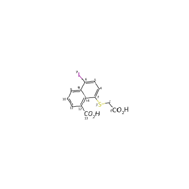 O=C(O)CSc1ccc(I)c2cccc(C(=O)O)c12